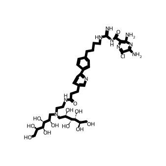 N=C(NCCCCc1ccc(-c2ccc(CCC(=O)NCCN(C[C@H](O)[C@@H](O)[C@H](O)[C@H](O)CO)C[C@H](O)[C@@H](O)[C@H](O)[C@H](O)CO)cn2)cc1)NC(=O)c1nc(Cl)c(N)nc1N